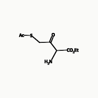 CCOC(=O)C(N)C(=O)CSC(C)=O